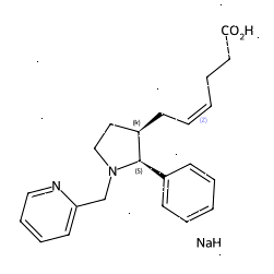 O=C(O)CC/C=C\C[C@@H]1CCN(Cc2ccccn2)[C@@H]1c1ccccc1.[NaH]